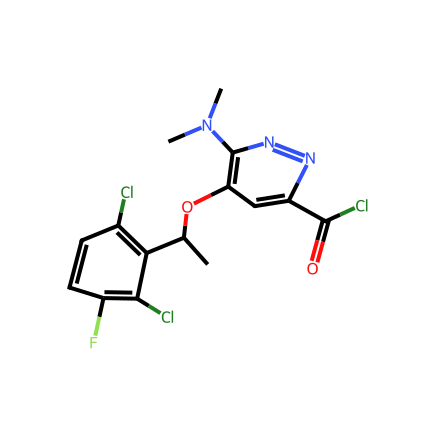 CC(Oc1cc(C(=O)Cl)nnc1N(C)C)c1c(Cl)ccc(F)c1Cl